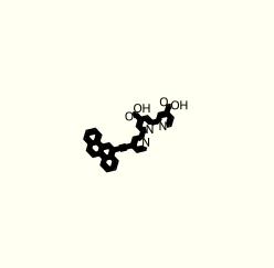 O=C(O)c1ccnc(-c2cc(C(=O)O)cc(-c3cc(C#Cc4cc5c6ccccc6ccc5c5ccccc45)ccn3)n2)c1